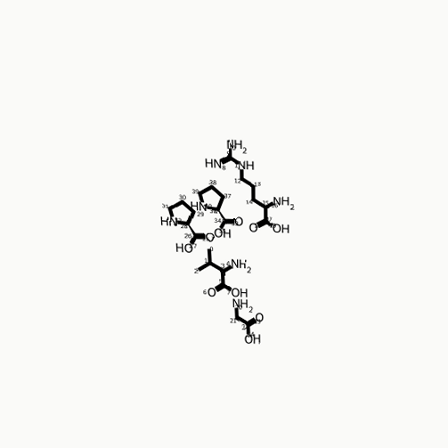 CC(C)C(N)C(=O)O.N=C(N)NCCCC(N)C(=O)O.NCC(=O)O.O=C(O)[C@@H]1CCCN1.O=C(O)[C@@H]1CCCN1